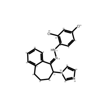 Clc1ccc(NN=C2c3ccccc3CCCC2n2ccnc2)c(Cl)c1